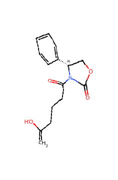 C=C(O)CCCC(=O)N1C(=O)OC[C@H]1c1ccccc1